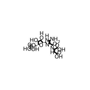 Nc1[nH]c([C@@H]2O[C@H](COP(=O)(O)O)[C@@H](O)[C@H]2O)nc1C(=O)NC(CC(=O)O)C(=O)O